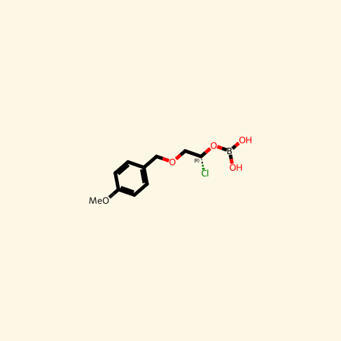 COc1ccc(COC[C@@H](Cl)OB(O)O)cc1